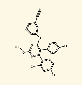 COc1nc(Oc2cccc(C#N)c2)c(-c2ccc(Cl)cc2)c(-c2ccc(Cl)cc2Cl)n1